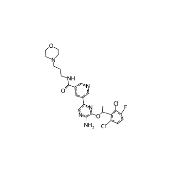 CC(Oc1nc(-c2cncc(C(=O)NCCCN3CCOCC3)c2)cnc1N)c1c(Cl)ccc(F)c1Cl